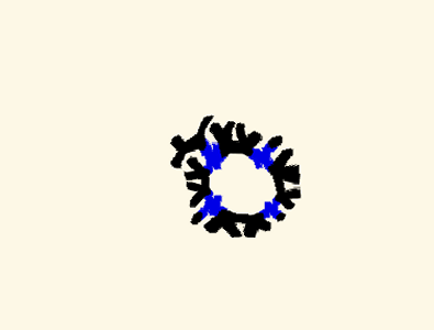 CC(C)=C(C)N1C(C)(C)C(C)(C)N(C)C(C)(C)C(C)(C)N(C)C(C)(C)C(C)(C)N(C)C(C)(C)C1(C)C